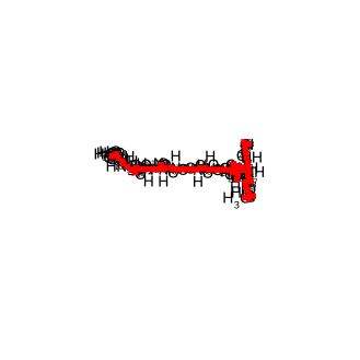 Cc1ccccc1NC(=O)Nc1ccc(CC(=O)N[C@@H](CCCCNC(=O)CCc2cccnc2)C(=O)N[C@@H](CCCC(=O)O)C(=O)NC2(C(=O)NCCOCCOCCNC(=O)CCC(=O)NCCOCCOCCNC(=O)CCC(=O)N[C@@H](CCCCNC(=O)CCN3C(=O)CC(SCCCC(=N)NCCCC(O)(P(=O)(O)O)P(=O)(O)O)C3=O)C(N)=O)CCCCC2)cc1